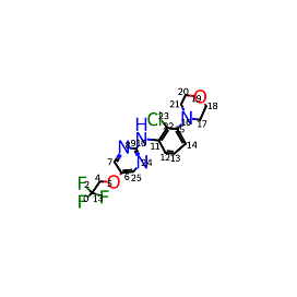 FC(F)(F)COc1cnc(Nc2cccc(N3CCOCC3)c2Cl)nc1